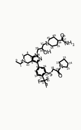 CCN1CCc2c(c(-c3ccc(C(F)(F)F)c(SCC(=O)N4CCCC4)c3)nn2CC(O)CN2CCC(C(N)=O)CC2)C1